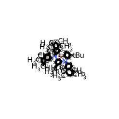 Cc1cc2c3c(c1)N(c1ccc4c(c1C)C(C)(C)CCC4(C)C)c1cc(C(C)(C)C)ccc1B3c1cc3c(cc1N2c1cc2c(cc1C)C(C)(C)CC2(C)C)C(C)(C)CC3(C)C